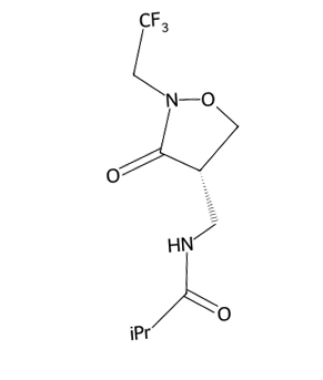 CC(C)C(=O)NC[C@H]1CON(CC(F)(F)F)C1=O